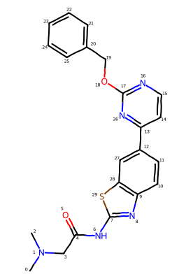 CN(C)CC(=O)Nc1nc2ccc(-c3ccnc(OCc4ccccc4)n3)cc2s1